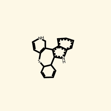 C1=CC2SC3=C(CNC=C3)c3c([nH]c4ccccc34)C2C=C1